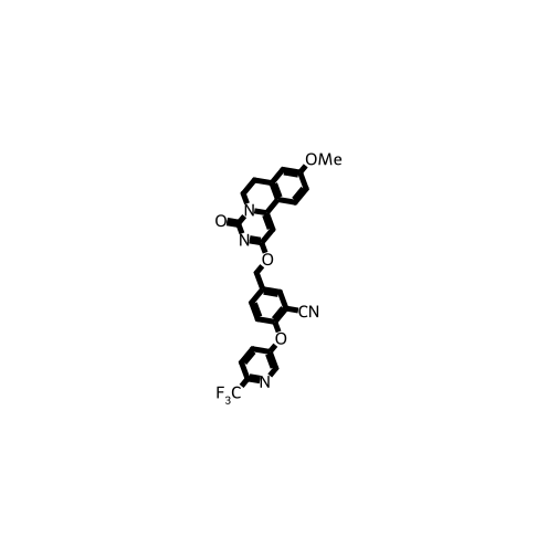 COc1ccc2c(c1)CCn1c-2cc(OCc2ccc(Oc3ccc(C(F)(F)F)nc3)c(C#N)c2)nc1=O